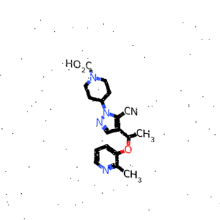 Cc1ncccc1OC(C)c1cnn(C2CCN(C(=O)O)CC2)c1C#N